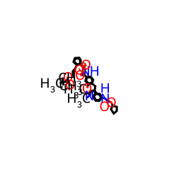 COc1cc(C(=O)NS(=O)(=O)c2ccccc2C#CCOC(=O)C(C)(C)C)ccc1Cc1cn(C)c2ccc(NC(=O)OC3CCCC3)cc12